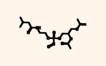 C=C(C)OCC(COP(=O)(N=O)OCCNC(=O)CC(C)C)OC(C)=O